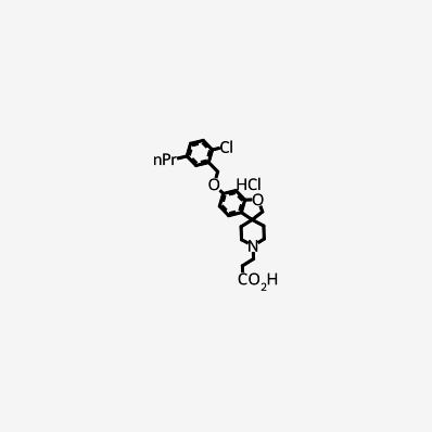 CCCc1ccc(Cl)c(COc2ccc3c(c2)OCC32CCN(CCC(=O)O)CC2)c1.Cl